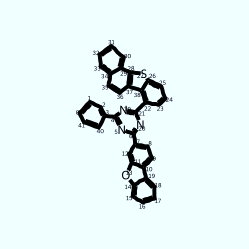 c1ccc(-c2nc(-c3ccc4c(c3)oc3ccccc34)nc(-c3cccc4sc5c6ccccc6ccc5c34)n2)cc1